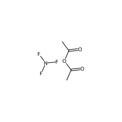 CC(=O)OC(C)=O.FN(F)F